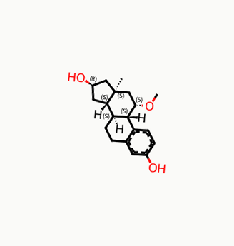 CO[C@H]1C[C@]2(C)C[C@H](O)C[C@H]2[C@@H]2CCc3cc(O)ccc3[C@H]21